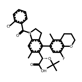 Cc1cc2c(c(-c3cc(F)c4c(c3C)CCCO4)c1[C@H](OC(C)(C)C)C(=O)O)CCN2C(=O)c1ccccc1Cl